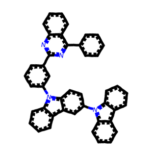 c1ccc(-c2nc(-c3cccc(-n4c5ccccc5c5cc(-n6c7ccccc7c7ccccc76)ccc54)c3)nc3ccccc23)cc1